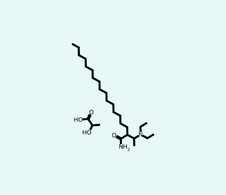 CC(O)C(=O)O.CCCCCCCCCCCCCCCCC(C(N)=O)C(C)N(CC)CC